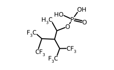 CC(OP(=O)(O)O)C(C(C(F)(F)F)C(F)(F)F)C(C(F)(F)F)C(F)(F)F